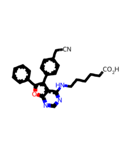 N#CCc1ccc(-c2c(-c3ccccc3)oc3ncnc(NCCCCCC(=O)O)c23)cc1